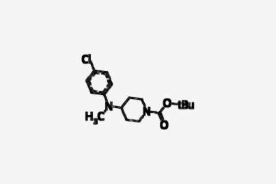 CN(c1ccc(Cl)cc1)C1CCN(C(=O)OC(C)(C)C)CC1